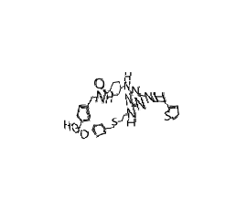 O=C(O)c1ccc(CNC(=O)C2CCC(Nc3nc(NCCSCc4ccccc4)nc(NCCc4cccs4)n3)CC2)cc1